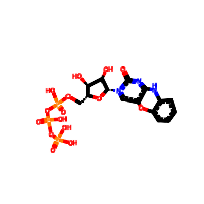 O=c1nc2c(cn1[C@@H]1O[C@H](COP(=O)(O)OP(=O)(O)OP(=O)(O)O)[C@@H](O)[C@H]1O)Oc1ccccc1N2